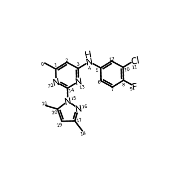 Cc1cc(Nc2ccc(F)c(Cl)c2)nc(-n2nc(C)cc2C)n1